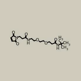 CC(C)(C)NC(=O)CCOCCOCCNC(=O)CCN1C(=O)C=CC1=O